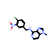 Cn1cnc2c(NCc3ccc(Cl)c([N+](=O)[O-])c3)nccc21